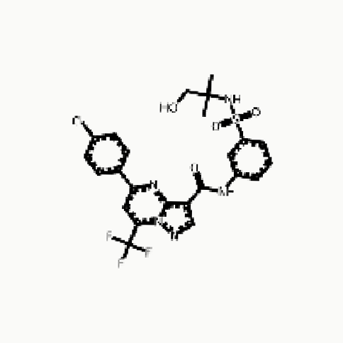 CC(C)(CO)NS(=O)(=O)c1cccc(NC(=O)c2cnn3c(C(F)(F)F)cc(-c4ccc(Cl)cc4)nc23)c1